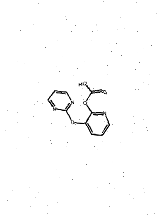 O=C(O)Oc1ncccc1Oc1ncccn1